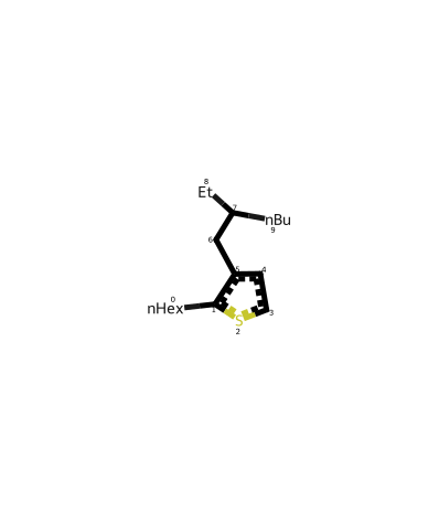 CCCCCCc1sccc1CC(CC)CCCC